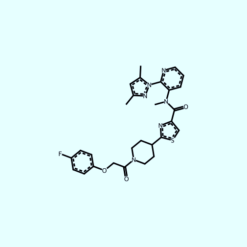 Cc1cc(C)n(-c2ncccc2N(C)C(=O)c2csc(C3CCN(C(=O)COc4ccc(F)cc4)CC3)n2)n1